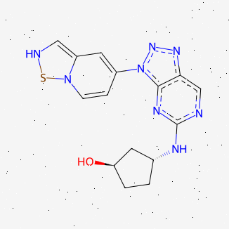 O[C@@H]1CC[C@@H](Nc2ncc3nnn(C4=CC5=CNSN5C=C4)c3n2)C1